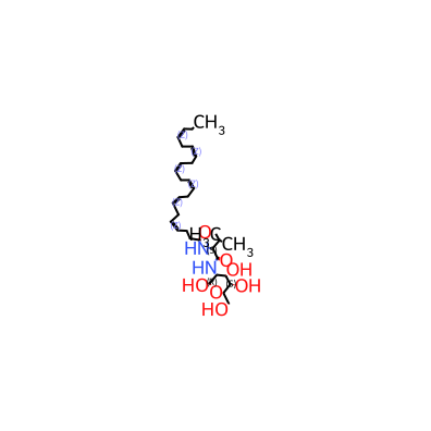 CC/C=C\C/C=C\C/C=C\C/C=C\C/C=C\C/C=C\CCC(=O)N[C@H](C(=O)NC1C(O)[C@H](O)C(CO)O[C@H]1O)C(C)C